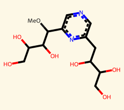 COC(c1cncc(CC(O)C(O)CO)n1)C(O)C(O)CO